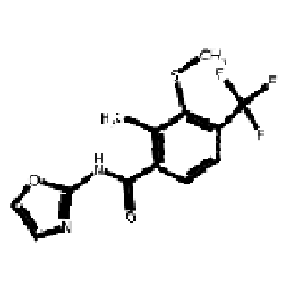 CSc1c(C(F)(F)F)ccc(C(=O)Nc2ncco2)c1C